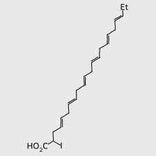 CCC=CCC=CCC=CCC=CCC=CCC=CCC(I)C(=O)O